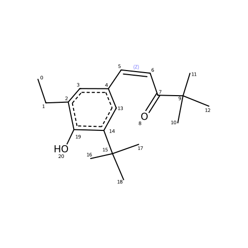 CCc1cc(/C=C\C(=O)C(C)(C)C)cc(C(C)(C)C)c1O